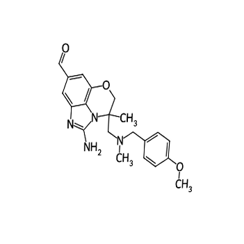 COc1ccc(CN(C)CC2(C)COc3cc(C=O)cc4nc(N)n2c34)cc1